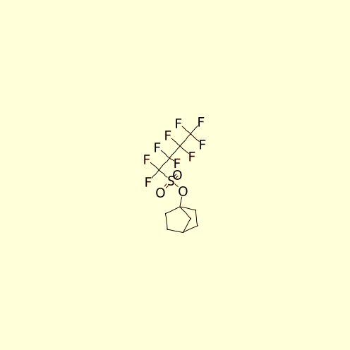 O=S(=O)(OC12CCC(CC1)C2)C(F)(F)C(F)(F)C(F)(F)C(F)(F)F